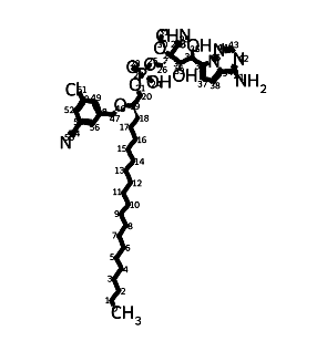 CCCCCCCCCCCCCCCCCCC[C@H](COP(=O)(O)OC[C@@](C#N)(OC)[C@@H](O)[C@@H](O)c1ccc2c(N)ncnn12)OCc1cc(Cl)cc(C#N)c1